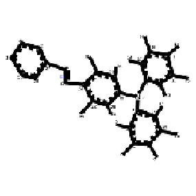 Cc1c(C)c(C)c(N(c2c(C)c(C)c(C)c(C)c2C)c2c(C)c(C)c(/C=C/c3ccccc3)c(C)c2C)c(C)c1C